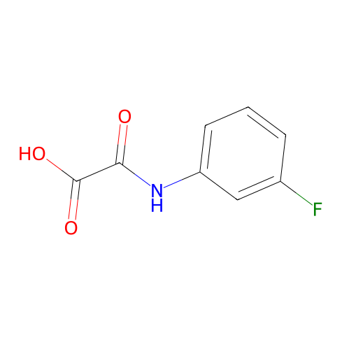 O=C(O)C(=O)Nc1cccc(F)c1